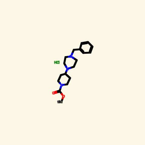 CC(C)(C)OC(=O)N1CCC(N2CCN(Cc3ccccc3)CC2)CC1.Cl